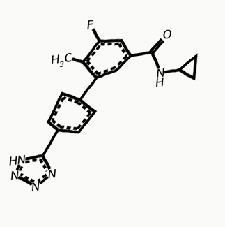 Cc1c(F)cc(C(=O)NC2CC2)cc1-c1ccc(-c2nnn[nH]2)cc1